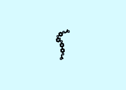 c1cc(Oc2ccc(OCC3CO3)cc2)nc(Oc2ccc(-c3ccc(OCC4CO4)cc3)cc2)c1